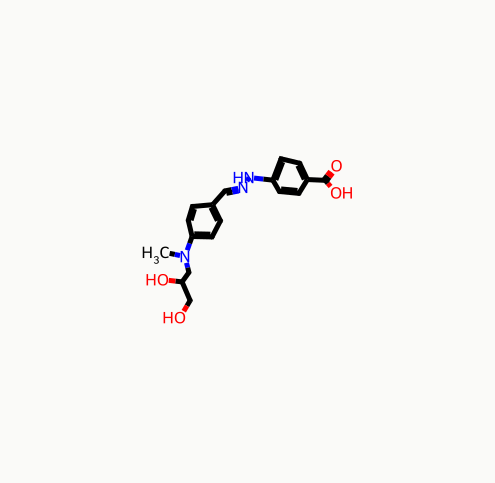 CN(CC(O)CO)c1ccc(C=NNc2ccc(C(=O)O)cc2)cc1